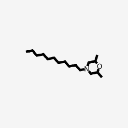 CCCCCCCCCCCN1CC(C)OC(C)C1